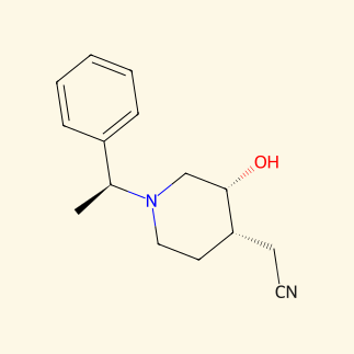 C[C@@H](c1ccccc1)N1CC[C@@H](CC#N)[C@@H](O)C1